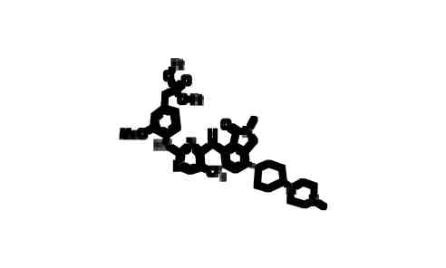 CCOP(=O)(Cc1ccc(Nc2ncc(C(F)(F)F)c(Nc3ccc([C@H]4CC[C@H](N5CCN(C)CC5)CC4)c4c3C(=O)N(C)C4)n2)c(OC)c1)OCC